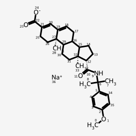 COc1ccc(C(C)(C)NC(=O)[C@H]2CCC3C4CC=C5C=C(C(=O)[O-])CC[C@]5(C)C4CC[C@@]32C)cc1.[Na+]